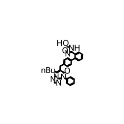 CCCCc1c(Cc2ccc(-c3ccccc3C3=NOC(O)N3)cc2)c(=O)n(-c2ccccc2)c2ncnn12